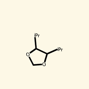 CC(C)C1OCOC1C(C)C